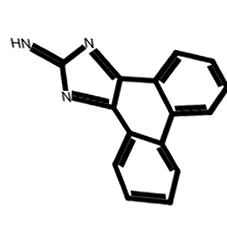 N=C1N=c2c(c3ccccc3c3ccccc23)=N1